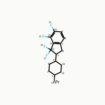 CCCC1CCC(C2Cc3ccc(F)c(F)c3C2(F)F)CC1